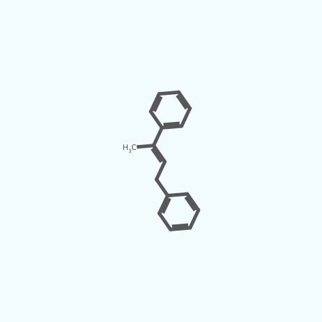 C/C(=C\Cc1ccccc1)c1ccccc1